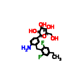 CCc1cc(F)c(Cc2cc([C@@H]3O[C@H](CO)[C@@H](O)[C@H](O)[C@H]3O)ccc2N)c(F)c1